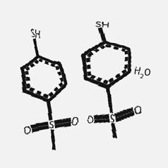 CS(=O)(=O)c1ccc(S)cc1.CS(=O)(=O)c1ccc(S)cc1.O